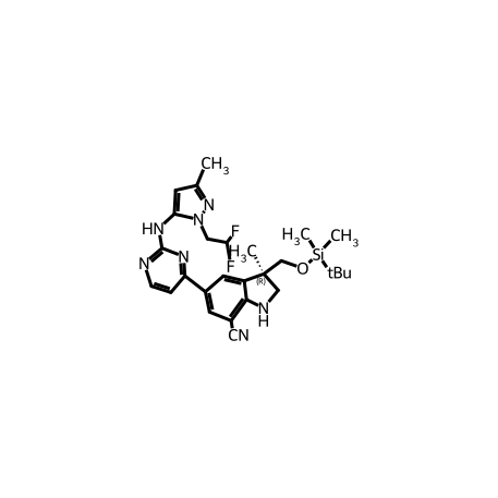 Cc1cc(Nc2nccc(-c3cc(C#N)c4c(c3)[C@@](C)(CO[Si](C)(C)C(C)(C)C)CN4)n2)n(CC(F)F)n1